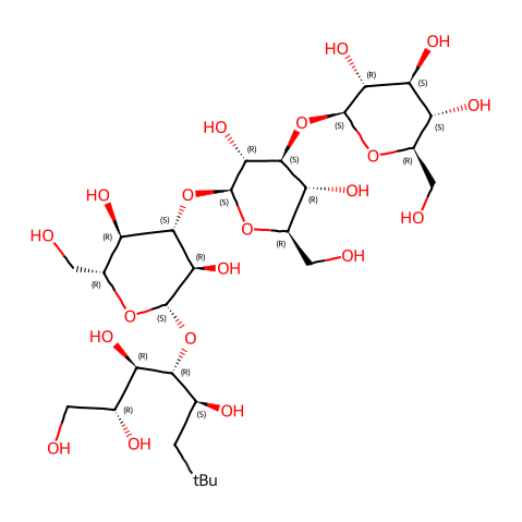 CC(C)(C)C[C@H](O)[C@@H](O[C@@H]1O[C@H](CO)[C@@H](O)[C@H](O[C@@H]2O[C@H](CO)[C@@H](O)[C@H](O[C@@H]3O[C@H](CO)[C@@H](O)[C@H](O)[C@H]3O)[C@H]2O)[C@H]1O)[C@H](O)[C@H](O)CO